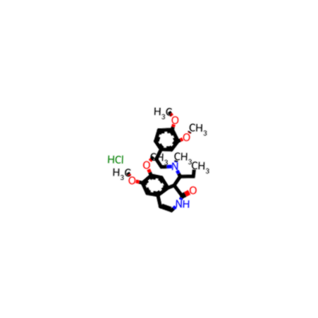 CCC(C1C(=O)NC=Cc2cc(OC)c(OC)cc21)N(C)CCc1ccc(OC)c(OC)c1.Cl